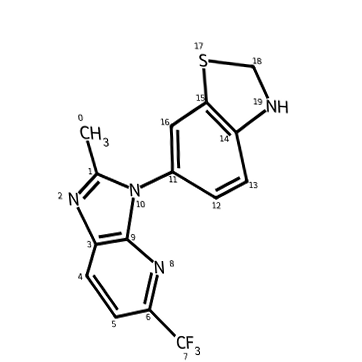 Cc1nc2ccc(C(F)(F)F)nc2n1-c1ccc2c(c1)SCN2